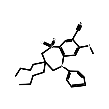 CCCCC1(CCCC)CN(c2ccccc2)c2cc(SC)c(C#N)cc2S(=O)(=O)C1